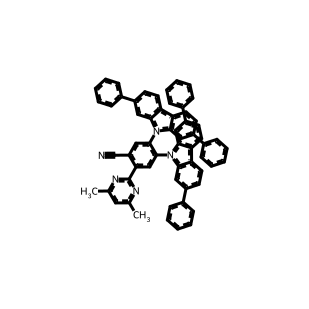 Cc1cc(C)nc(-c2cc(-n3c4cc(-c5ccccc5)ccc4c4ccc(-c5ccccc5)cc43)c(-n3c4cc(-c5ccccc5)ccc4c4ccc(-c5ccccc5)cc43)cc2C#N)n1